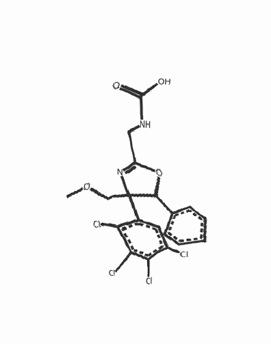 COCC1(c2cc(Cl)c(Cl)c(Cl)c2Cl)N=C(CNC(=O)O)OC1c1ccccc1